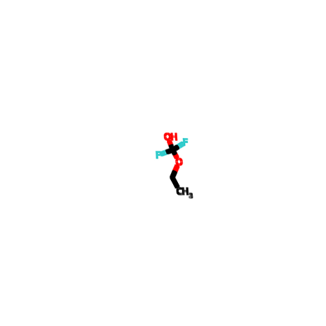 CCOC(O)(F)F